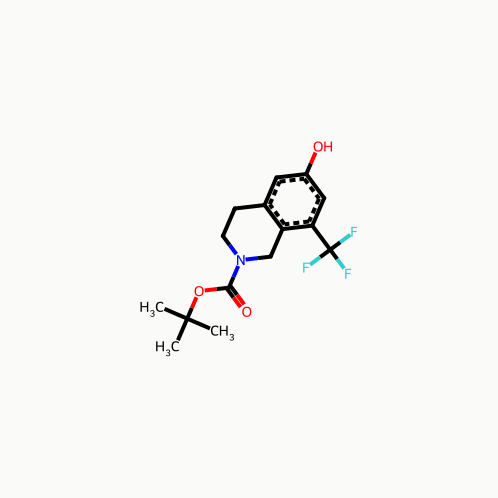 CC(C)(C)OC(=O)N1CCc2cc(O)cc(C(F)(F)F)c2C1